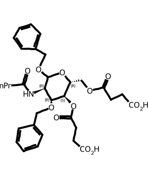 CCCC(=O)N[C@H]1C(OCc2ccccc2)O[C@H](COC(=O)CCC(=O)O)[C@@H](OC(=O)CCC(=O)O)[C@@H]1OCc1ccccc1